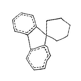 c1ccc2c(c1)-c1ccccc1C21CCCCC1